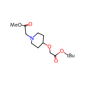 COC(=O)CN1CCC(OCC(=O)OC(C)(C)C)CC1